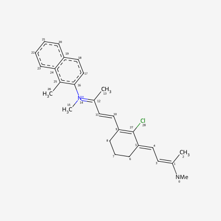 CN/C(C)=C/C=C1\CCCC(/C=C/C(C)=[N+](\C)c2ccc3ccccc3c2C)=C1Cl